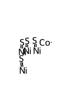 [Co].[S]=[Ni].[S]=[Ni].[S]=[Ni].[S]=[Ni]